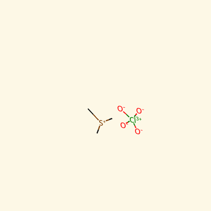 C[S+](C)C.[O-][Cl+3]([O-])([O-])[O-]